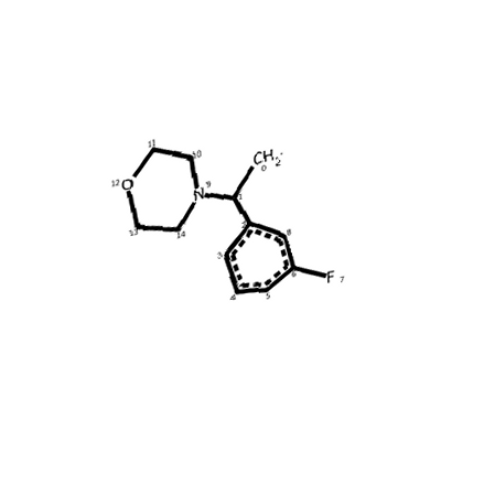 [CH2]C(c1cccc(F)c1)N1CCOCC1